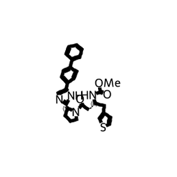 COC(=O)N[C@@H](CC(=O)N1CCC[C@H]1c1ncc(-c2ccc(-c3ccccc3)cc2)[nH]1)Cc1ccsc1